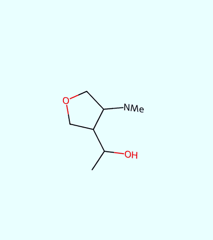 CNC1COCC1C(C)O